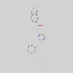 Cc1cc(NC(=O)c2ccc3snnc3c2)nn1Cc1cc(Cl)ccc1OCC(C)C